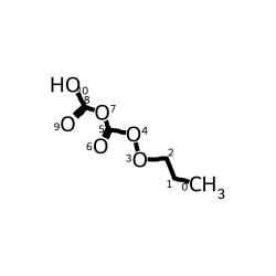 CCCOOC(=O)OC(=O)O